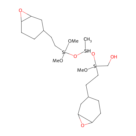 CO[Si](CO)(CCC1CCC2OC2C1)O[SiH](C)O[Si](CCC1CCC2OC2C1)(OC)OC